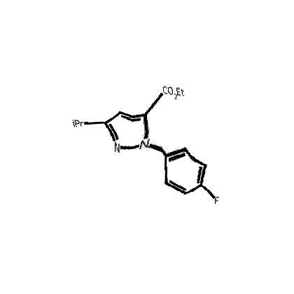 CCOC(=O)c1cc(C(C)C)nn1-c1ccc(F)cc1